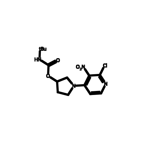 CC(C)(C)NC(=O)OC1CCN(c2ccnc(Cl)c2[N+](=O)[O-])C1